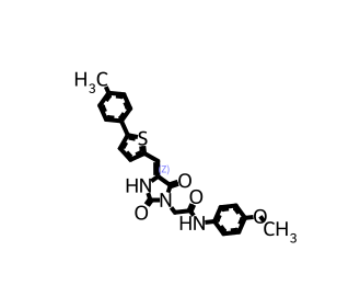 COc1ccc(NC(=O)CN2C(=O)N/C(=C\c3ccc(-c4ccc(C)cc4)s3)C2=O)cc1